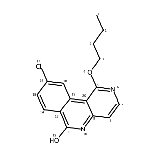 CCCCOc1nccc2nc(O)c3ccc(Cl)cc3c12